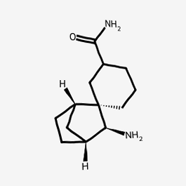 NC(=O)C1CCC[C@@]2(C1)[C@H]1CC[C@H](C1)[C@@H]2N